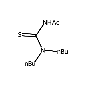 CCCCN(CCCC)C(=S)NC(C)=O